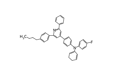 CCCCc1ccc(-c2cc(-c3ccc(N(C4=CCCC=C4)c4ccc(F)cc4)cc3)cc(-c3ccccc3)n2)cc1